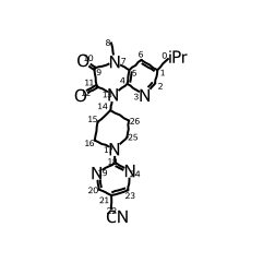 CC(C)c1cnc2c(c1)n(C)c(=O)c(=O)n2C1CCN(c2ncc(C#N)cn2)CC1